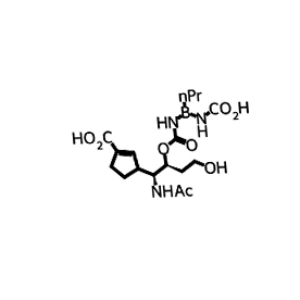 CCCB(NC(=O)O)NC(=O)O[C@@H](CCO)[C@@H](NC(C)=O)C1C=C(C(=O)O)CC1